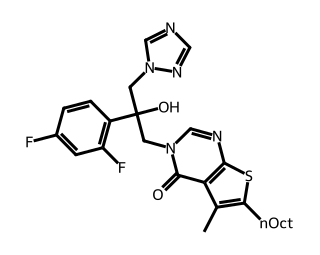 CCCCCCCCc1sc2ncn(CC(O)(Cn3cncn3)c3ccc(F)cc3F)c(=O)c2c1C